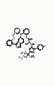 CSC(C)(C)c1cc(NC(=O)NCc2ccccc2Sc2ccc3nnc(-c4ccccc4OCc4ccccc4)n3c2)n(-c2ccc(Cl)cc2)n1